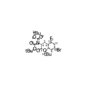 CC(C)(C)OC(=O)C(Cc1ccc(Br)cc1F)N(C(=O)OC(C)(C)C)C(=O)OC(C)(C)C